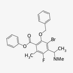 CNC(C)c1c(F)c(C)c(C(=O)Oc2ccccc2)c(OCc2ccccc2)c1Br